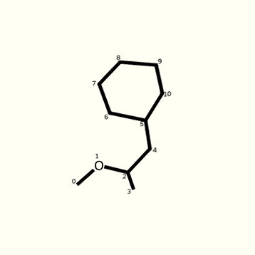 COC(C)CC1CCCCC1